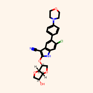 N#Cc1c(O[C@H]2CO[C@H]3[C@@H]2OC[C@H]3O)[nH]c2cc(Cl)c(-c3ccc(N4CCOCC4)cc3)cc12